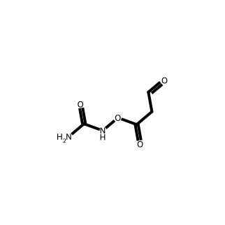 NC(=O)NOC(=O)CC=O